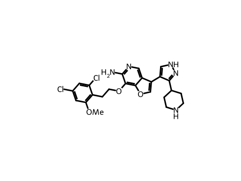 COc1cc(Cl)cc(Cl)c1CCOc1c(N)ncc2c(-c3c[nH]nc3C3CCNCC3)coc12